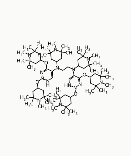 CN1C(C)(C)CC(OC2=NN(OC3CC(C)(C)N(C)C(C)(C)C3)NC=C2N(CCN(C2=CNN(OC3CC(C)(C)N(C)C(C)(C)C3)N=C2OC2CC(C)(C)N(C)C(C)(C)C2)C2CC(C)(C)N(C)C(C)(C)C2)C2CC(C)(C)N(C)C(C)(C)C2)CC1(C)C